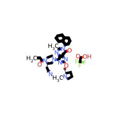 C=CC(=O)N1CCN(c2nc(OC[C@@H]3CCCN3C)nc3c(=O)n(-c4cccc5ccccc45)c(C)nc23)C[C@@H]1CC#N.O=C(O)C(F)(F)F